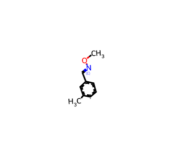 CO/N=C/c1cc[c]c(C)c1